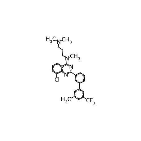 Cc1cc(-c2cccc(-c3nc(N(C)CCCN(C)C)c4cccc(Cl)c4n3)c2)cc(C(F)(F)F)c1